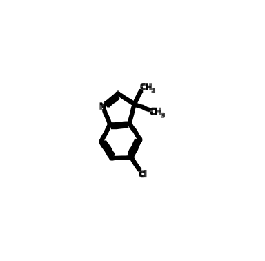 CC1(C)[C]=Nc2ccc(Cl)cc21